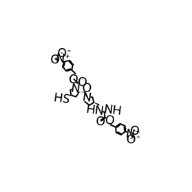 N=C(NC[C@H]1CCN(C(=O)[C@@H]2C[C@H](S)CN2C(=O)OCc2ccc([N+](=O)[O-])cc2)C1)C(=O)OCc1ccc([N+](=O)[O-])cc1